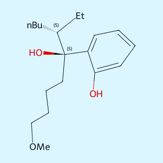 CCCC[C@H](CC)[C@@](O)(CCCCOC)c1ccccc1O